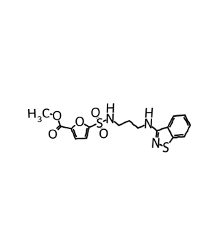 COC(=O)c1ccc(S(=O)(=O)NCCCNc2nsc3ccccc23)o1